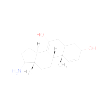 C[C@]12C=CC(O)CC1CC(O)=C1[C@H]2CC[C@]2(C)C(N)CC[C@@H]12